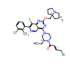 N#CC[C@H]1CN(c2nc(OC[C@@]34CCCN3C[C@H](F)C4)nc3c(F)c(-c4cccc(Cl)c4C(F)(F)F)ncc23)CCN1C(=O)/C=C/CBr